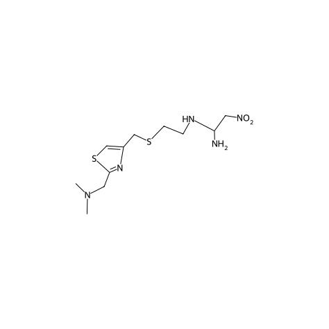 CN(C)Cc1nc(CSCCNC(N)C[N+](=O)[O-])cs1